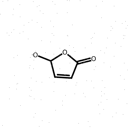 [O]C1C=CC(=O)O1